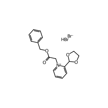 Br.O=C(C[n+]1ccccc1C1OCCO1)OCc1ccccc1.[Br-]